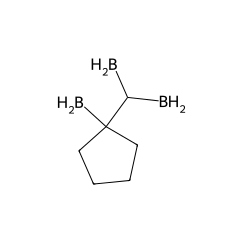 BC(B)C1(B)CCCC1